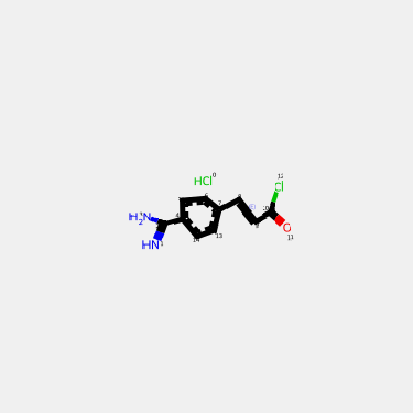 Cl.N=C(N)c1ccc(/C=C/C(=O)Cl)cc1